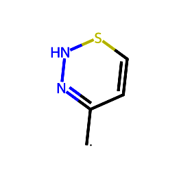 [CH2]C1=NNSC=C1